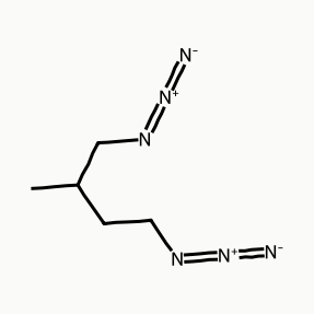 CC(CCN=[N+]=[N-])CN=[N+]=[N-]